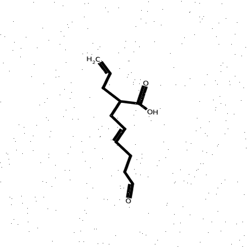 C=CCC(CC=CCCC=O)C(=O)O